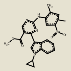 COC(=O)c1cnc(Nc2cc([N+](=O)[O-])c(F)cc2C)nc1-c1cn(C2CC2)c2ccccc12